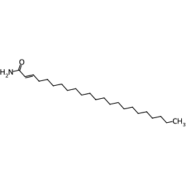 CCCCCCCCCCCCCCCCCCCCC=CC(N)=O